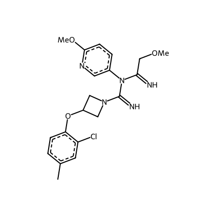 COCC(=N)N(C(=N)N1CC(Oc2ccc(C)cc2Cl)C1)c1ccc(OC)nc1